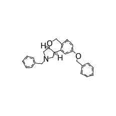 c1ccc(COc2ccc3c(c2)[C@H]2CN(Cc4ccccc4)C[C@H]2OC3)cc1